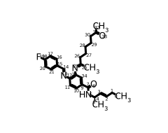 CC/C=C/[C@@H](C)NC(=O)c1ccc(/N=C/c2ccc(F)cc2)c(/N=C(\C)CCCCCC(C)=O)c1